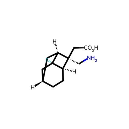 NC[C@@]1(CC(=O)O)[C@@H]2C[C@@H]3CC[C@H]1[C@@]2(F)C3